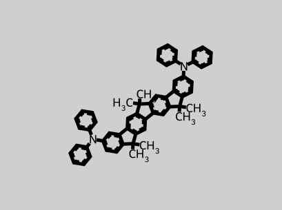 CC1(C)c2ccc(N(c3ccccc3)c3ccccc3)cc2-c2cc3c(cc21)-c1cc2c(cc1C3(C)C)-c1cc(N(c3ccccc3)c3ccccc3)ccc1C2(C)C